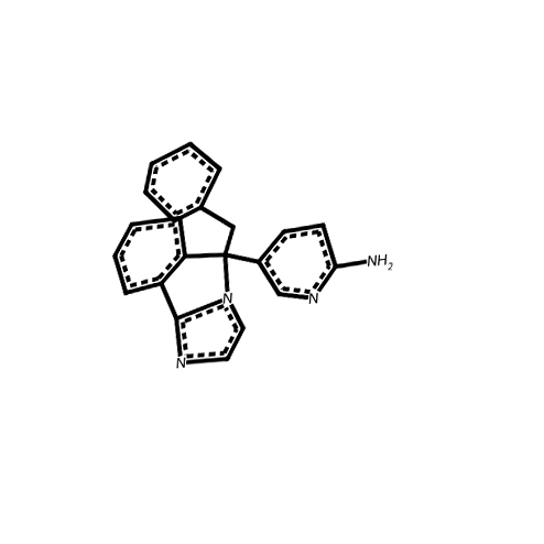 Nc1ccc(C2(Cc3ccccc3)c3ccccc3-c3nccn32)cn1